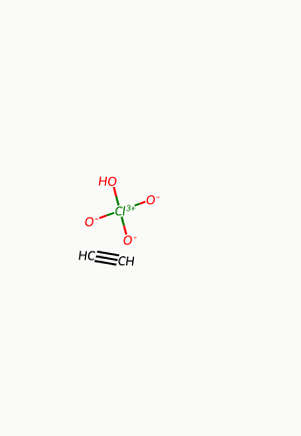 C#C.[O-][Cl+3]([O-])([O-])O